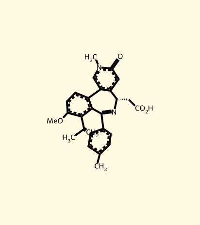 C=C(C)c1c(OC)ccc2c1C(c1ccc(C)cc1)=N[C@@H](CC(=O)O)c1cc(=O)n(C)cc1-2